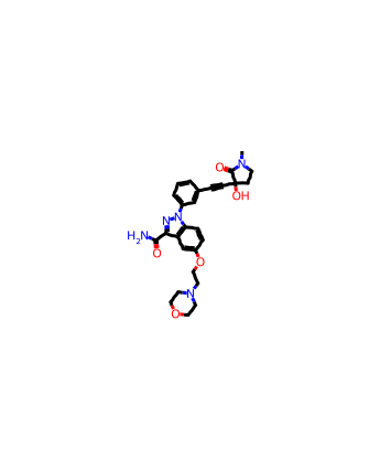 CN1CCC(O)(C#Cc2cccc(-n3nc(C(N)=O)c4cc(OCCN5CCOCC5)ccc43)c2)C1=O